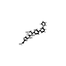 C#Cc1nc(NC(=O)NC(CO)c2ccc(-c3cccc(N4CCCC4)n3)cn2)cs1